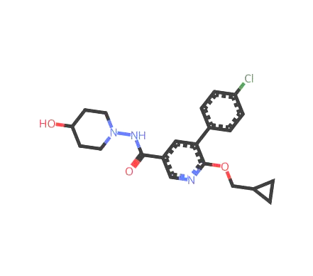 O=C(NN1CCC(O)CC1)c1cnc(OCC2CC2)c(-c2ccc(Cl)cc2)c1